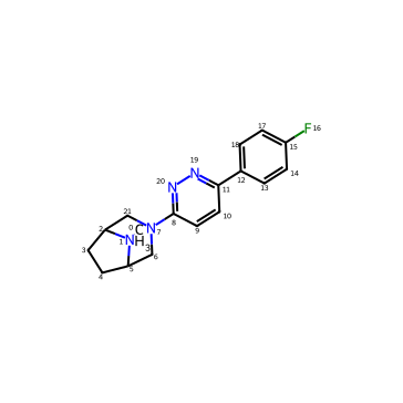 CN1C2CCC1CN(c1ccc(-c3ccc(F)cc3)nn1)C2